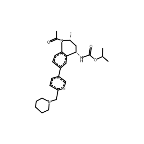 CC(=O)N1c2ccc(-c3ccc(CN4CCCCC4)nc3)cc2[C@@H](NC(=O)OC(C)C)C[C@H]1C